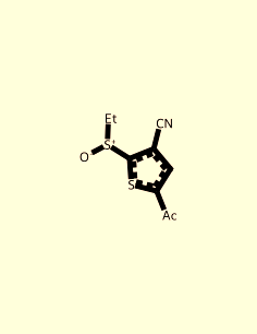 CC[S+]([O-])c1sc(C(C)=O)cc1C#N